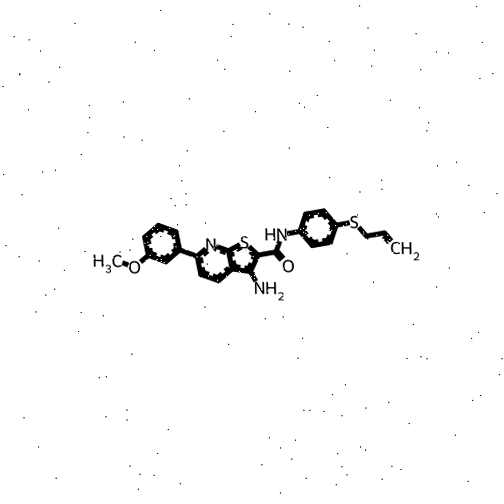 C=CCSc1ccc(NC(=O)c2sc3nc(-c4cccc(OC)c4)ccc3c2N)cc1